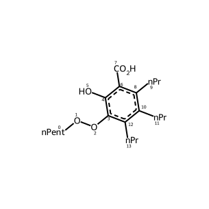 CCCCCOOc1c(O)c(C(=O)O)c(CCC)c(CCC)c1CCC